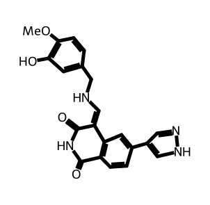 COc1ccc(CNC=C2C(=O)NC(=O)c3ccc(-c4cn[nH]c4)cc32)cc1O